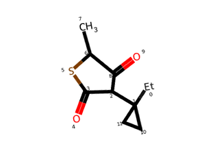 CCC1(C2C(=O)SC(C)C2=O)CC1